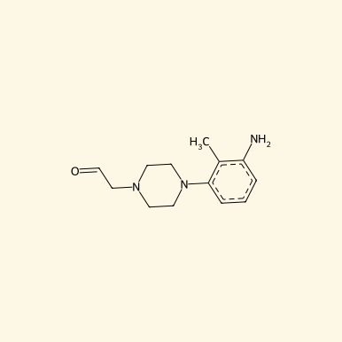 Cc1c(N)cccc1N1CCN(CC=O)CC1